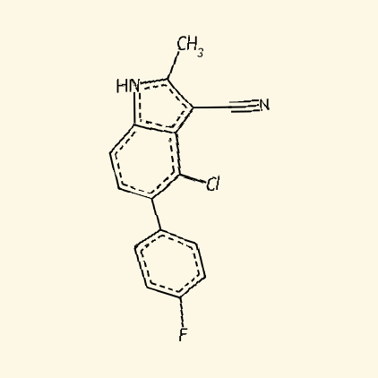 Cc1[nH]c2ccc(-c3ccc(F)cc3)c(Cl)c2c1C#N